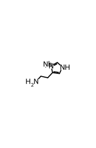 NCCc1c[nH]cn1.[Nb]